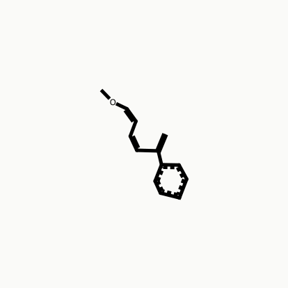 C=C(/C=C\C=C/OC)c1ccccc1